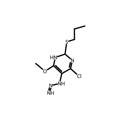 CCCSC1N=C(Cl)C(NN=N)=C(OC)N1